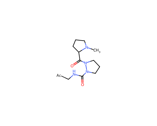 CC(=O)CNC(=O)N1CCCN1C(=O)C1CCCN1C